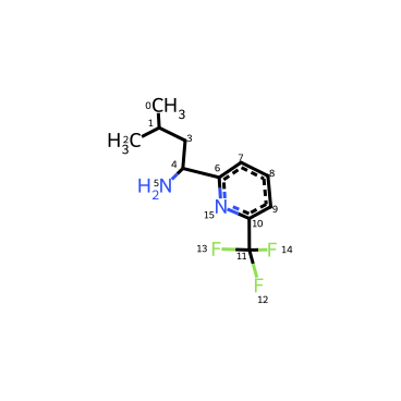 CC(C)CC(N)c1cccc(C(F)(F)F)n1